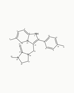 CC1=CC=C2NC(c3ccc(C)cc3)=C(CN3CCN(C)C3=O)N2C1